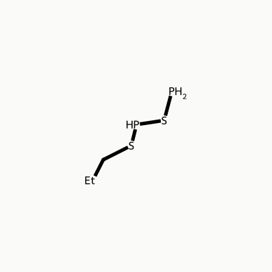 CCCSPSP